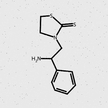 NC(CN1CCSC1=S)c1ccccc1